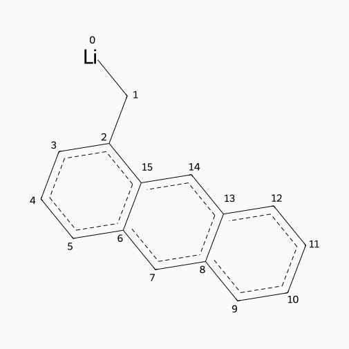 [Li][CH2]c1cccc2cc3ccccc3cc12